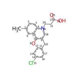 Cc1ccc2c(c1)c(=O)c(Cc1ccc(Cl)cc1)cn2CCC(=O)O